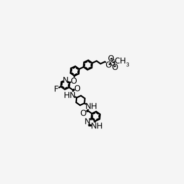 CS(=O)(=O)OCCCc1ccc(-c2cccc(Oc3ncc(F)cc3C(=O)NC3CCC(NC(=O)c4cccc5[nH]cnc45)CC3)c2)cc1